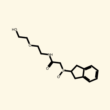 O=C(C[S+]([O-])C1Cc2ccccc2C1)NCCOCCO